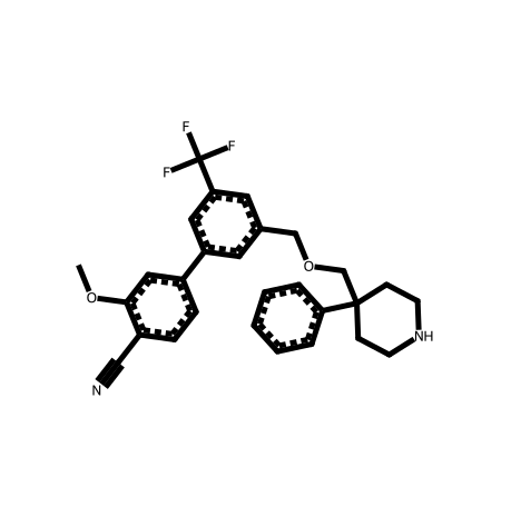 COc1cc(-c2cc(COCC3(c4ccccc4)CCNCC3)cc(C(F)(F)F)c2)ccc1C#N